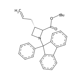 C=CC[C@H]1CN(C2(c3ccccc3)c3ccccc3-c3ccccc32)C1C(=O)OC(C)(C)C